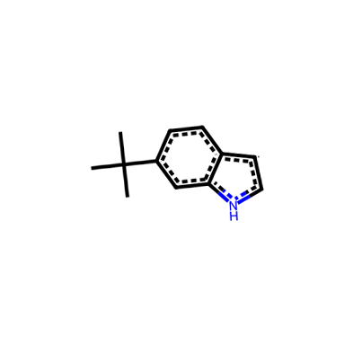 CC(C)(C)c1ccc2[c]c[nH]c2c1